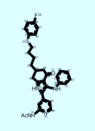 CC(=O)Nc1cc(-c2[nH]c3c(c2Nc2ccccc2)C(=O)CC(CCCCSc2ccc(F)cc2)C3)ccn1